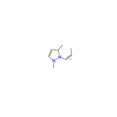 C/C=C\N1C(C)C=CN1C